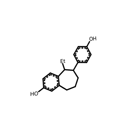 CCC1c2ccc(O)cc2CCCC1c1ccc(O)cc1